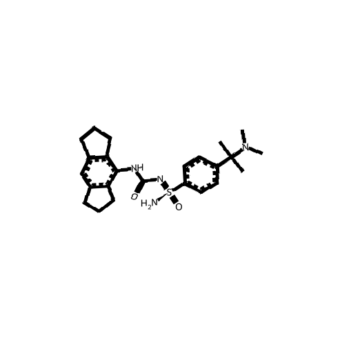 CN(C)C(C)(C)c1ccc([S@](N)(=O)=NC(=O)Nc2c3c(cc4c2CCC4)CCC3)cc1